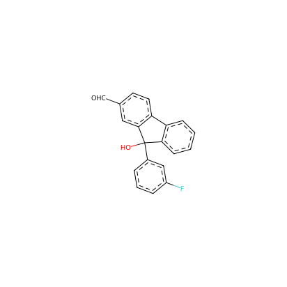 O=Cc1ccc2c(c1)C(O)(c1cccc(F)c1)c1ccccc1-2